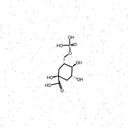 O=C(O)[C@]1(O)C[C@H](COP(=O)(O)O)[C@@H](O)[C@H](O)C1